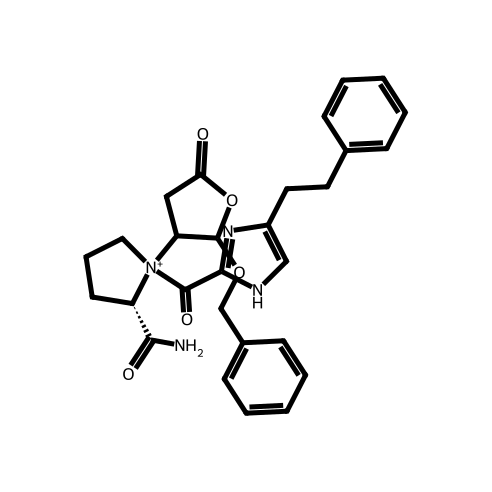 NC(=O)[C@@H]1CCC[N+]1(C(=O)c1nc(CCc2ccccc2)c[nH]1)C1CC(=O)OC1OCc1ccccc1